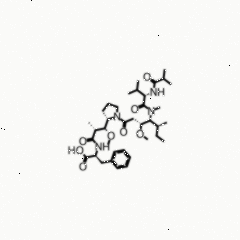 CC[C@H](C)[C@@H]([C@@H](CC(=O)N1CCC[C@H]1[C@H](OC)[C@@H](C)C(=O)N[C@@H](Cc1ccccc1)C(=O)O)OC)N(C)C(=O)[C@@H](NC(=O)C(C)C)C(C)C